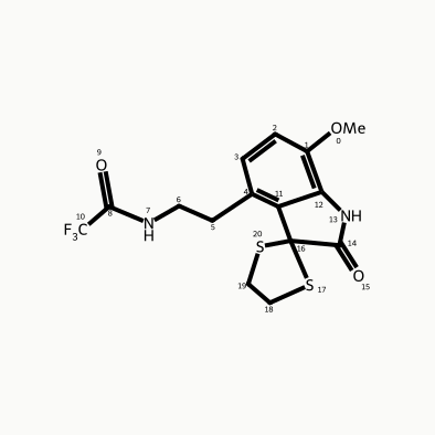 COc1ccc(CCNC(=O)C(F)(F)F)c2c1NC(=O)C21SCCS1